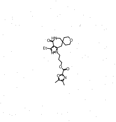 CCc1nn(CCCOC(=O)c2nc(C)c(C)o2)c2c1C(=O)NCC1(CCOCC1)C2